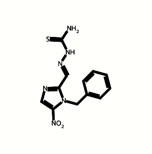 NC(=S)NN=Cc1ncc([N+](=O)[O-])n1Cc1ccccc1